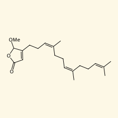 COC1OC(=O)C=C1CCC=C(C)CCC=C(C)CCC=C(C)C